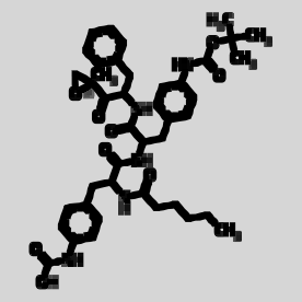 CCCCCC(=O)NC(Cc1ccc(NC(=O)O)cc1)C(=O)NC(Cc1ccc(NC(=O)OC(C)(C)C)cc1)C(=O)NC(Cc1ccccc1)C(=O)[C@@]1(C)CO1